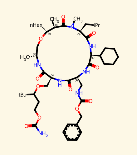 CCCCCC[C@H]1OC[C@@H](C)NC(=O)[C@H](COC(CCOC(N)=O)C(C)(C)C)NC(=O)[C@H](CNC(=O)OCc2ccccc2)NC(=O)[C@H](C2CCCCC2)NC(=O)[C@H](CC(C)C)N(C)C(=O)[C@@H]1C